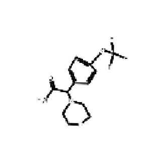 NC(=O)C(c1ccc(OC(F)(F)F)cc1)N1CCOCC1